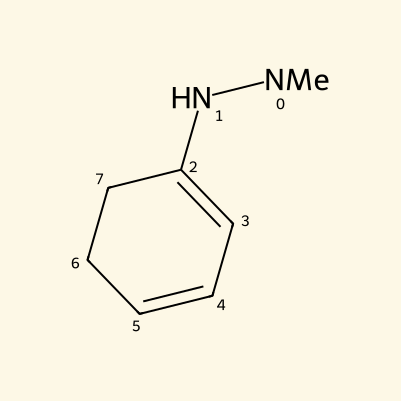 CNNC1=CC=CCC1